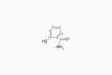 NC=O.[Hg][c]1ccccc1